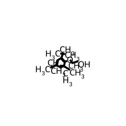 CC(C)(C)c1cc(C(C)(C)C)c(OCCO)c(C(C)(C)C)c1